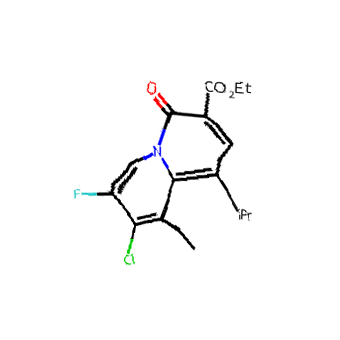 CCOC(=O)c1cc(C(C)C)c2c(C)c(Cl)c(F)cn2c1=O